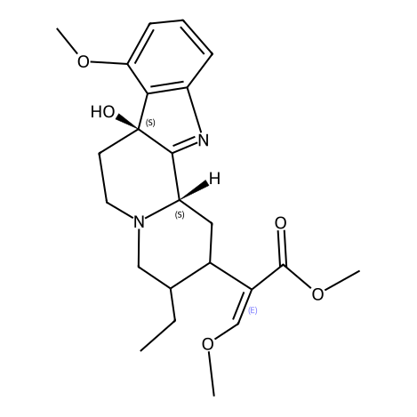 CCC1CN2CC[C@@]3(O)C(=Nc4cccc(OC)c43)[C@@H]2CC1/C(=C\OC)C(=O)OC